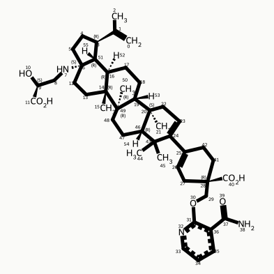 C=C(C)[C@@H]1CC[C@]2(NC[C@H](O)C(=O)O)CC[C@]3(C)[C@H](CC[C@@H]4[C@@]5(C)CC=C(C6=CC[C@](COc7ncccc7C(N)=O)(C(=O)O)CC6)C(C)(C)[C@@H]5CC[C@]43C)[C@@H]12